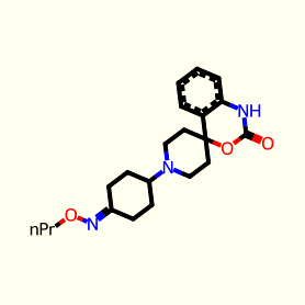 CCCON=C1CCC(N2CCC3(CC2)OC(=O)Nc2ccccc23)CC1